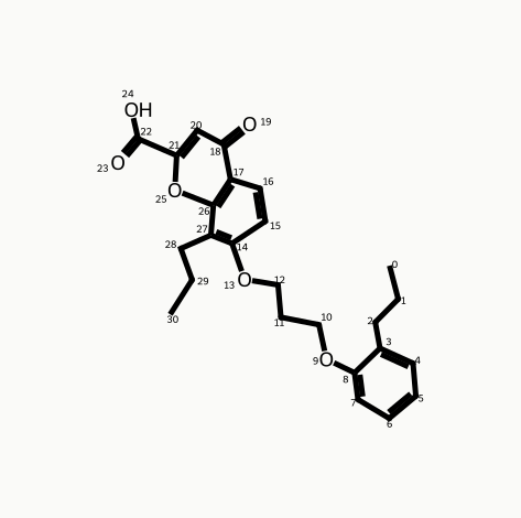 CCCc1ccccc1OCCCOc1ccc2c(=O)cc(C(=O)O)oc2c1CCC